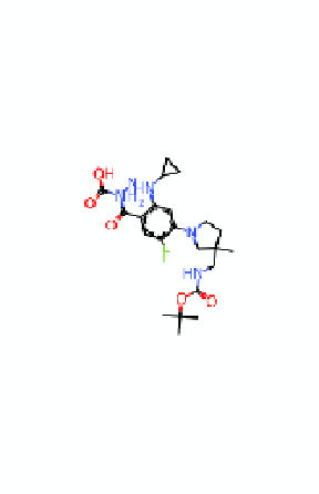 CC1(CNC(=O)OC(C)(C)C)CCN(c2cc(NC3CC3)c(C(=O)N(N)C(=O)O)cc2F)C1